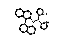 c1c[nH]c(P(Oc2ccc3ccccc3c2-c2cccc3ccccc23)c2ccc[nH]2)c1